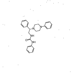 O=C(NCC(c1ccccc1)N1CCN(c2ccccc2)CC1)Nc1ccccc1